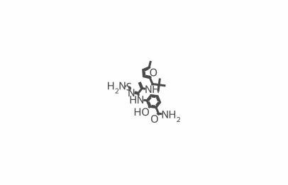 C=C(N[C@@H](c1ccc(C)o1)C(C)(C)C)/C(=N\SN)Nc1cccc(C(N)=O)c1O